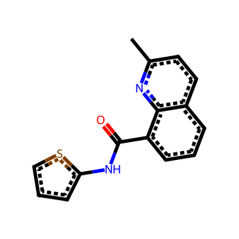 Cc1ccc2cccc(C(=O)Nc3cccs3)c2n1